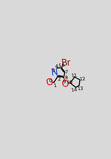 O=Cc1ncc(Br)cc1OC1CCCC1